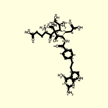 Nc1nc(N)c2c(CCc3ccc(C(=O)N[C@@H](CCC(=O)O)C(=O)C(C[C@H](N)C(=O)O)(C(=O)O)C(=O)[C@@H](N)CCC(=O)O)cc3)c[nH]c2n1